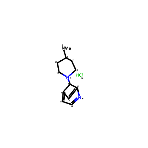 CNC1CCN(C2C3=CC=NC2=C3)CC1.Cl